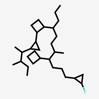 CCCC(CCC(C)C(CCCC1CC1F)C1CCC1)C1CCC1C1CC1C(C)C(C)CC